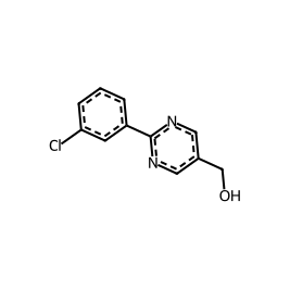 OCc1cnc(-c2cccc(Cl)c2)nc1